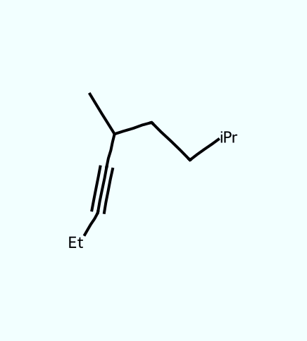 [CH2]C(C)CCC(C)C#CCC